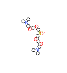 [O-][S+](c1ccc2oc3cc4c(cc3c2c1)oc1ccc(-n2c3ccccc3c3ccccc32)cc14)c1ccc2oc3cc4c(cc3c2c1)oc1ccc(-n2c3ccccc3c3ccccc32)cc14